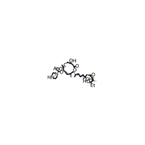 CC[C@@H](O)[C@@H](C)[C@H]1O[C@@H]1C[C@](C)(O)/C=C/C=C(\C)[C@H]1OC(=O)C[C@@H](O)CC[C@](C)(OC(C)=O)C(OC(=O)N2CCNCC2)/C=C/[C@@H]1C